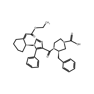 CCOC(=O)/C=C1/CCCC[C@@H]1n1cnc(C(=O)N2CCN(C(=O)O)C[C@H]2Cc2ccccc2)c1-c1ccccc1